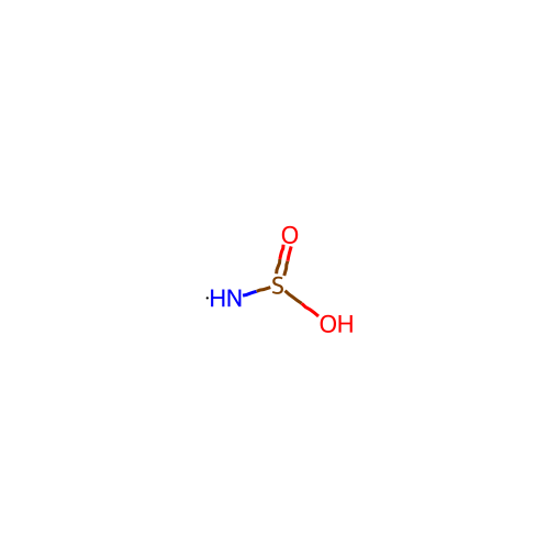 [NH]S(=O)O